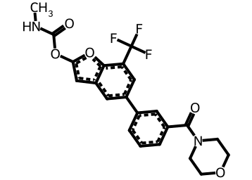 CNC(=O)Oc1cc2cc(-c3cccc(C(=O)N4CCOCC4)c3)cc(C(F)(F)F)c2o1